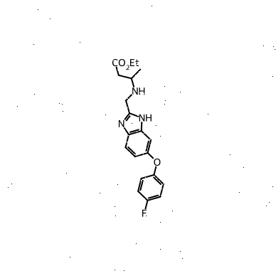 CCOC(=O)CC(C)NCc1nc2ccc(Oc3ccc(F)cc3)cc2[nH]1